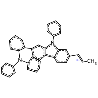 C/C=C/c1ccc2c3ccc(-c4ccccc4N(c4ccccc4)c4ccccc4)cc3n(-c3ccccc3)c2c1